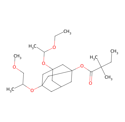 CCOC(C)OC12CC3CC(OC(=O)C(C)(C)CC)(CC(OC(C)COC)(C3)C1)C2